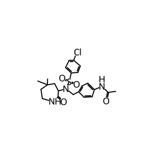 CC(=O)Nc1ccc(CN(C2CC(C)(C)CCNC2=O)S(=O)(=O)c2ccc(Cl)cc2)cc1